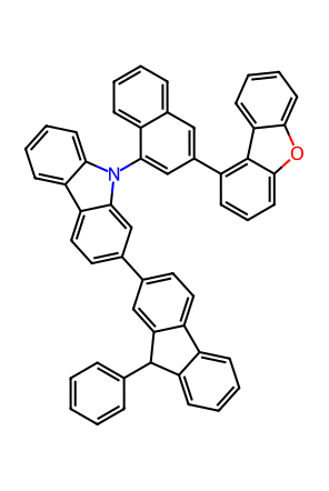 c1ccc(C2c3ccccc3-c3ccc(-c4ccc5c6ccccc6n(-c6cc(-c7cccc8oc9ccccc9c78)cc7ccccc67)c5c4)cc32)cc1